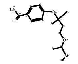 CBC(C)OCCC(C)(C)Oc1ccc(C(N)=O)cc1